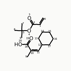 C=CC(=O)OC(C)(C)C.CC(=CC1CCCCC1)C(=O)O